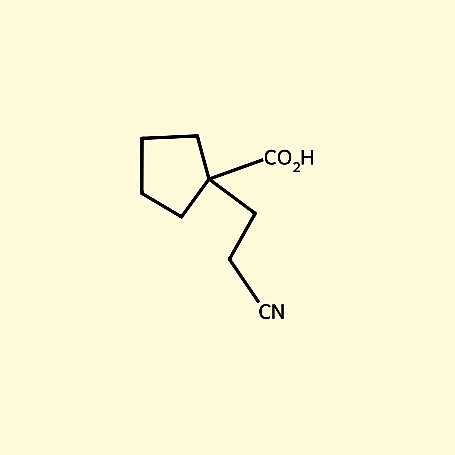 N#CCCC1(C(=O)O)CCCC1